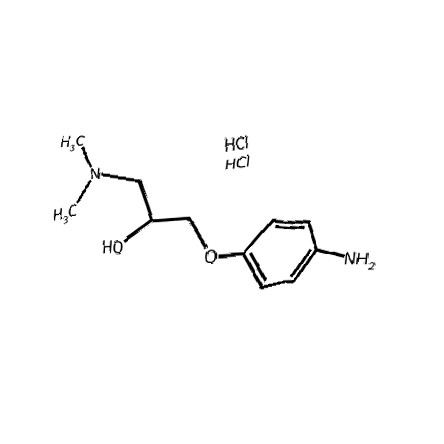 CN(C)CC(O)COc1ccc(N)cc1.Cl.Cl